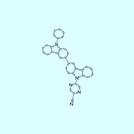 N#Cc1cnc(-n2c3ccccc3c3cc(-c4ccc5c(c4)c4ccccc4n5-c4ccccc4)ccc32)cn1